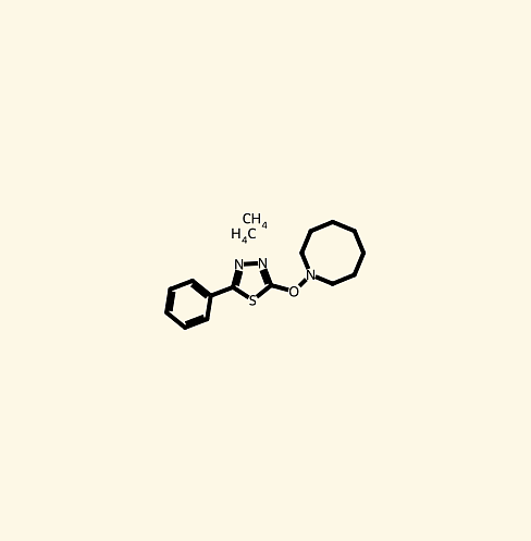 C.C.c1ccc(-c2nnc(ON3CCCCCCC3)s2)cc1